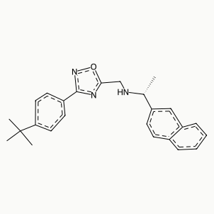 C[C@@H](NCc1nc(-c2ccc(C(C)(C)C)cc2)no1)c1ccc2ccccc2c1